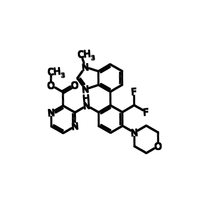 COC(=O)c1nccnc1Nc1ccc(N2CCOCC2)c(C(F)F)c1-c1cccc2c1ncn2C